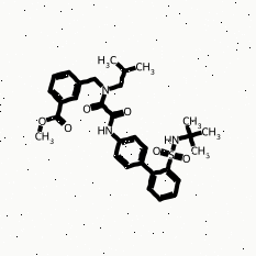 COC(=O)c1cccc(CN(CC(C)C)C(=O)C(=O)Nc2ccc(-c3ccccc3S(=O)(=O)NC(C)(C)C)cc2)c1